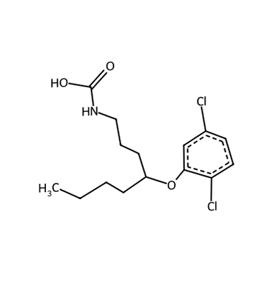 CCCCC(CCCNC(=O)O)Oc1cc(Cl)ccc1Cl